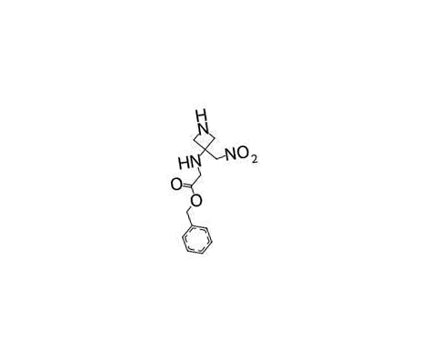 O=C(CNC1(C[N+](=O)[O-])CNC1)OCc1ccccc1